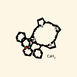 C1=Cc2cc3c(-c4ccccc4)c(-c4ccccc4)c(c(-c4ccccc4)c4nc(cc5ccc(cc1n2)[nH]5)C=C4)n3-c1ccccc1.[CaH2]